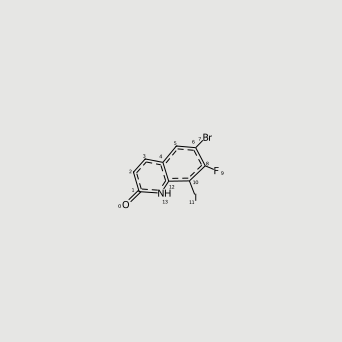 O=c1ccc2cc(Br)c(F)c(I)c2[nH]1